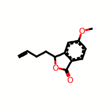 C=CCCC1OC(=O)c2ccc(OC)cc21